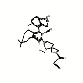 C=CC(=O)N1CC2(CCN(c3nc4c(c(-c5c(C)ccc6[nH]ncc56)c3C#N)CCC(C)(C)C4)[C@H]2CF)C1